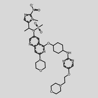 CC(c1cnc([N+](=O)[O-])n1C)N(c1cnc2cc(N3CCOCC3)nc(OC3CCC(Nc4ncc(OCCN5CCOCC5)cn4)CC3)c2c1)S(C)(=O)=O